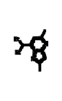 CCC(CC)c1cc(C)nc2cc(C)nn12